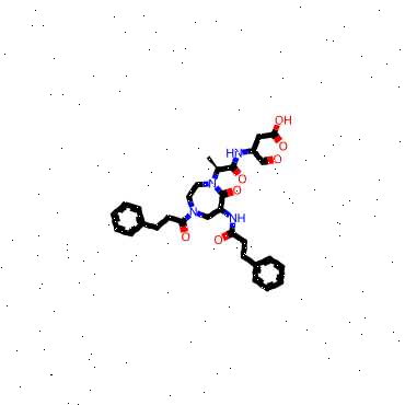 C[C@@H](C(=O)NC(C=O)CC(=O)O)N1CCN(C(=O)CCc2ccccc2)CC(NC(=O)CCc2ccccc2)C1=O